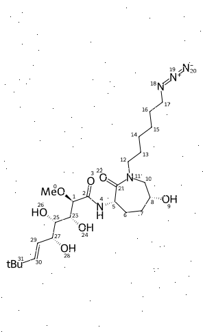 CO[C@@H](C(=O)N[C@H]1CC[C@@H](O)CN(CCCCCCN=[N+]=[N-])C1=O)[C@H](O)[C@@H](O)[C@H](O)/C=C/C(C)(C)C